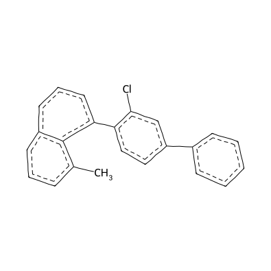 Cc1cccc2cccc(-c3ccc(-c4ccccc4)cc3Cl)c12